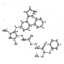 CCCCc1nc(Cl)c(CNC(=O)CCNC(=O)C(CS)Cc2ccccc2)n1Cc1ccc(-c2ccccc2-c2nnn[nH]2)cc1